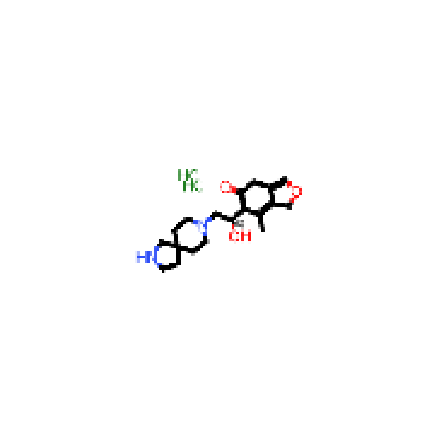 CC1=C2COC=C2CC(=O)C1[C@@H](O)CN1CCC2(CCNC2)CC1.Cl.Cl